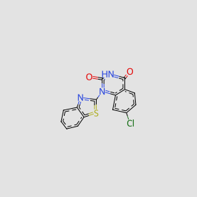 O=c1[nH]c(=O)n(-c2nc3ccccc3s2)c2cc(Cl)ccc12